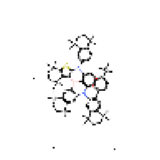 Cc1cc2c3c(c1)N(c1ccc4c(c1)C(C)(C)CCC4(C)C)c1sc4c(c1B3c1cc3c(cc1N2c1cc2c(cc1-c1ccc([Si](C)(C)C)cc1)C(C)(C)CCC2(C)C)C(C)(C)CCC3(C)C)C(C)(C)CCC4(C)C